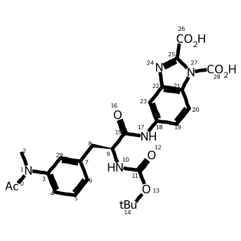 CC(=O)N(C)c1cccc(C[C@H](NC(=O)OC(C)(C)C)C(=O)Nc2ccc3c(c2)nc(C(=O)O)n3C(=O)O)c1